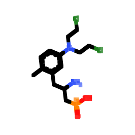 Cc1ccc(N(CCCl)CCCl)cc1CC(N)C[PH](=O)O